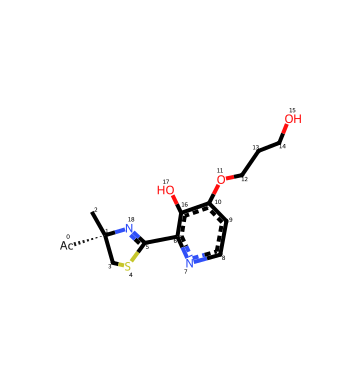 CC(=O)[C@@]1(C)CSC(c2nccc(OCCCO)c2O)=N1